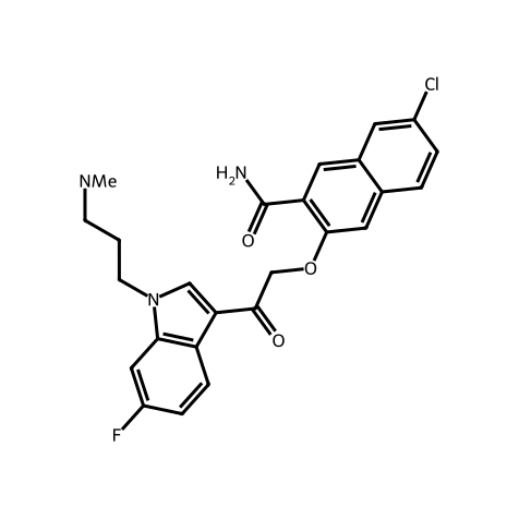 CNCCCn1cc(C(=O)COc2cc3ccc(Cl)cc3cc2C(N)=O)c2ccc(F)cc21